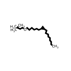 CCCCCCCCCC1CC1CCCCCCOCCC(C)(C)C